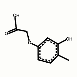 Cc1ccc(OCC(=O)O)cc1O